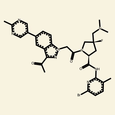 CC(=O)c1nn(CC(=O)N2C[C@](F)(CN(C)C)C[C@H]2C(=O)Nc2nc(Br)ccc2C)c2ccc(-c3cnc(C)nc3)cc12